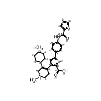 CN1CCC(c2cc(-c3ccc(NC(=O)c4cscn4)cc3)sc2C(=O)O)=C([C@H]2CC[C@H](C)CC2)C1